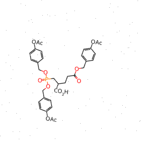 CC(=O)Oc1ccc(COC(=O)CCC(CP(=O)(OCc2ccc(OC(C)=O)cc2)OCc2ccc(OC(C)=O)cc2)C(=O)O)cc1